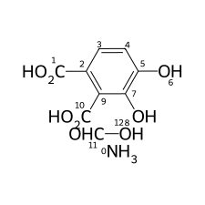 N.O=C(O)c1ccc(O)c(O)c1C(=O)O.O=CO